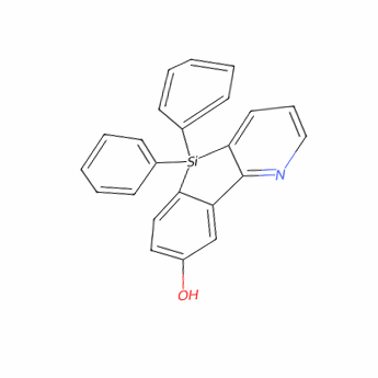 Oc1ccc2c(c1)-c1ncccc1[Si]2(c1ccccc1)c1ccccc1